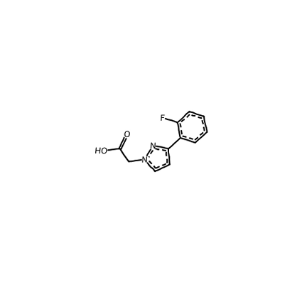 O=C(O)Cn1ccc(-c2ccccc2F)n1